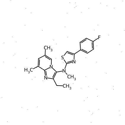 CCc1nc2c(C)cc(C)cn2c1N(C)c1nc(-c2ccc(F)cc2)cs1